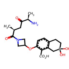 C[C@@H](N)C(=O)C[C@H](C)C(=O)N1CC(Oc2ccc3c(c2C(=O)O)C[B-](O)(O)CC3)C1